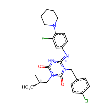 C[C@@H](Cn1c(=O)[nH]/c(=N\c2ccc(N3CCCCC3)c(F)c2)n(Cc2ccc(Cl)cc2)c1=O)C(=O)O